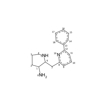 NC1CCCNC1Cc1cccc(-c2ccccc2)n1